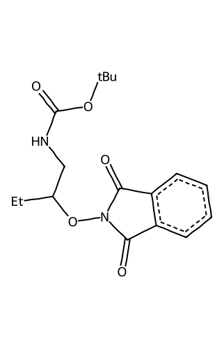 CCC(CNC(=O)OC(C)(C)C)ON1C(=O)c2ccccc2C1=O